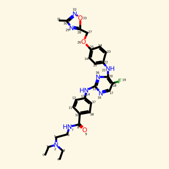 CCN(CC)CCNC(=O)c1ccc(Nc2ncc(F)c(Nc3ccc(OCc4nc(C)no4)cc3)n2)cc1